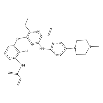 C=CC(=O)Nc1cccc(Oc2nc(Nc3ccc(N4CCN(C)CC4)cc3)c(C=O)nc2CC)c1Cl